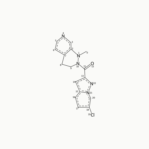 CN1c2cnccc2CCN1C(=O)c1cc2ccc(Cl)cn2n1